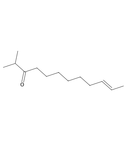 C/C=C/CCCCCCC(=O)C(C)C